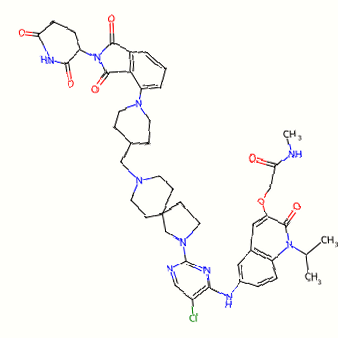 CNC(=O)COc1cc2cc(Nc3nc(N4CCC5(CCN(CC6CCN(c7cccc8c7C(=O)N(C7CCC(=O)NC7=O)C8=O)CC6)CC5)C4)ncc3Cl)ccc2n(C(C)C)c1=O